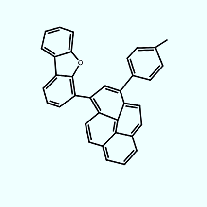 Cc1ccc(-c2cc(-c3cccc4c3oc3ccccc34)c3ccc4cccc5ccc2c3c54)cc1